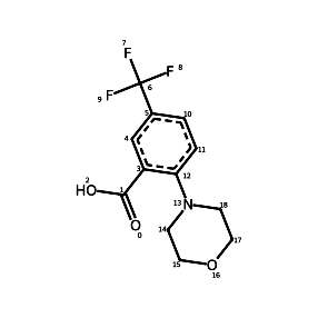 O=C(O)c1cc(C(F)(F)F)ccc1N1CCOCC1